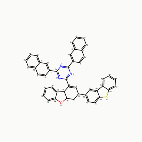 C1=C(c2nc(-c3ccc4ccccc4c3)nc(-c3ccc4ccccc4c3)n2)C2c3ccccc3OC2CC1c1ccc2sc3ccccc3c2c1